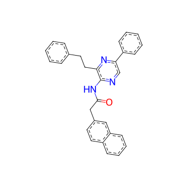 O=C(Cc1ccc2ccccc2c1)Nc1ncc(-c2ccccc2)nc1CCc1ccccc1